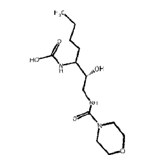 CCCCC(NC(=O)O)[C@H](O)CNC(=O)N1CCOCC1